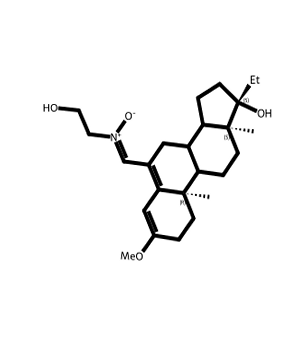 CC[C@]1(O)CCC2C3CC(C=[N+]([O-])CCO)=C4C=C(OC)CC[C@]4(C)C3CC[C@@]21C